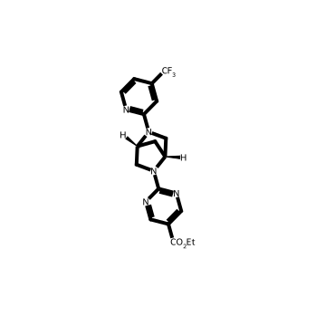 CCOC(=O)c1cnc(N2C[C@H]3C[C@@H]2CN3c2cc(C(F)(F)F)ccn2)nc1